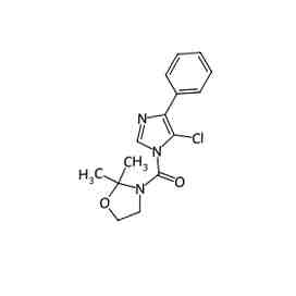 CC1(C)OCCN1C(=O)n1cnc(-c2ccccc2)c1Cl